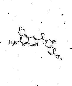 CC(C)CN(Cc1ccc(C(F)(F)F)nn1)C(=O)c1cc2c3c(c(N)nc2cn1)COC3